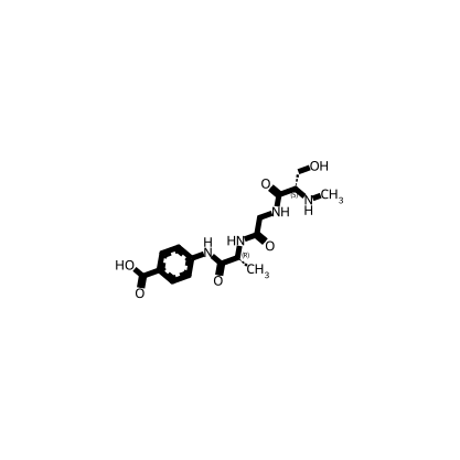 CN[C@@H](CO)C(=O)NCC(=O)N[C@H](C)C(=O)Nc1ccc(C(=O)O)cc1